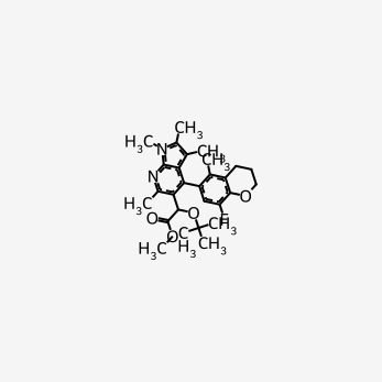 COC(=O)C(OC(C)(C)C)c1c(C)nc2c(c(C)c(C)n2C)c1-c1cc(F)c2c(c1C)CCCO2